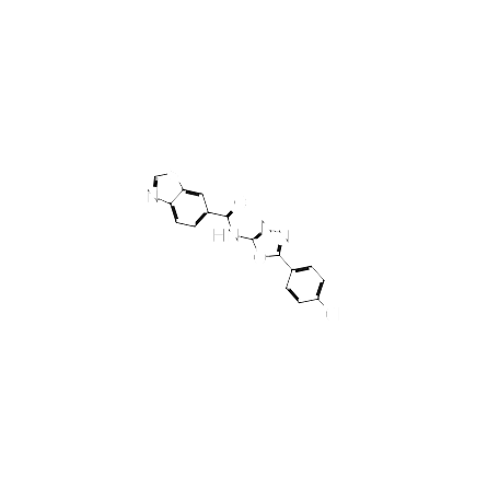 O=C(Nc1nnc(-c2ccc(Cl)cc2)o1)c1ccc2ncsc2c1